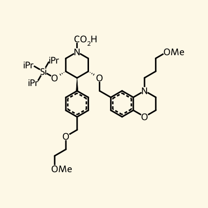 COCCCN1CCOc2ccc(CO[C@H]3CN(C(=O)O)C[C@@H](O[Si](C(C)C)(C(C)C)C(C)C)[C@@H]3c3ccc(COCCOC)cc3)cc21